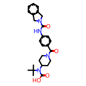 CC(C)(C)N(C(=O)O)C1CCN(C(=O)c2ccc(NC(=O)N3Cc4ccccc4C3)cc2)CC1